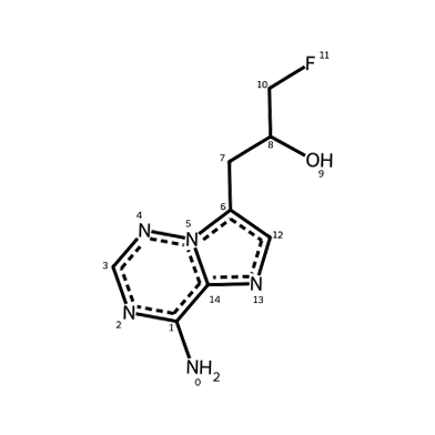 Nc1ncnn2c(CC(O)CF)cnc12